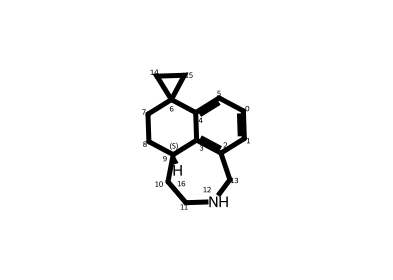 c1cc2c3c(c1)C1(CC[C@H]3CCNC2)CC1